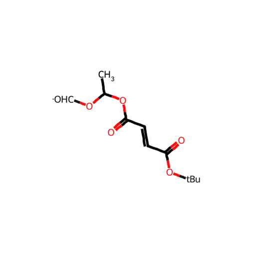 CC(O[C]=O)OC(=O)/C=C/C(=O)OC(C)(C)C